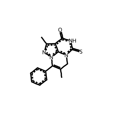 CC1=C(c2ccccc2)n2nc(C)c3c(=O)[nH]c(=S)n(c32)C1